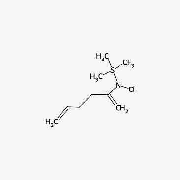 C=CCCC(=C)N(Cl)S(C)(C)C(F)(F)F